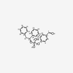 O=Cc1ccc(OP(=O)(O)OC(Cc2ccccc2)c2ccccc2)cc1